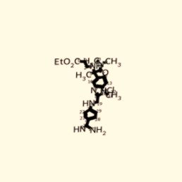 CCOC(=O)CCNC(C)(C(=O)N(C)C)c1ccc2c(c1)nc(CNc1ccc(C(=N)N)cc1)n2C.Cl